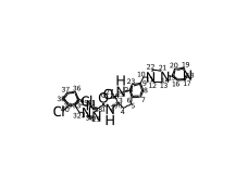 O=C(N[C@@H]1CCc2ccc(CN3CCN(c4ccncc4)CC3)cc2NC1=O)c1ncn(Cc2c(Cl)cccc2Cl)n1